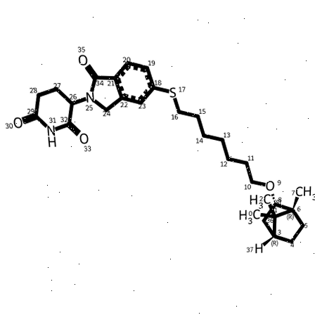 CC1(C)[C@@H]2CC[C@@]1(C)[C@@H](OCCCCCCCSc1ccc3c(c1)CN(C1CCC(=O)NC1=O)C3=O)C2